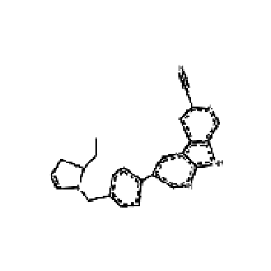 CCC1CC=CN1Cc1ccc(-c2cnc3[nH]c4cnc(C#N)cc4c3c2)cc1